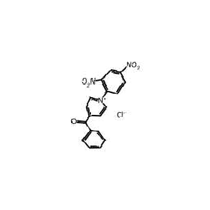 O=C(c1ccccc1)c1cc[n+](-c2ccc([N+](=O)[O-])cc2[N+](=O)[O-])cc1.[Cl-]